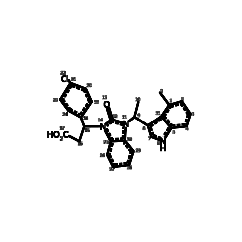 Cc1cccc2[nH]cc(C(C)n3c(=O)n(C(CC(=O)O)c4ccc(Cl)cc4)c4ccccc43)c12